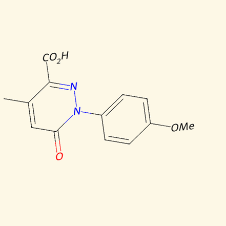 COc1ccc(-n2nc(C(=O)O)c(C)cc2=O)cc1